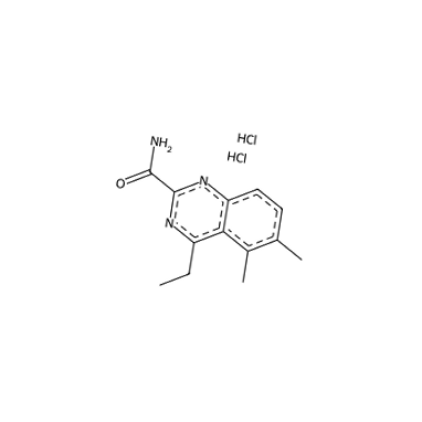 CCc1nc(C(N)=O)nc2ccc(C)c(C)c12.Cl.Cl